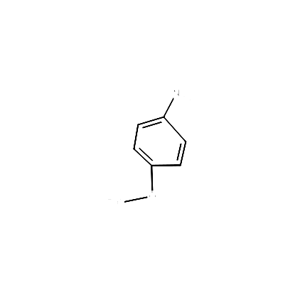 O=[N+]([O-])c1ccc(OC(F)(F)F)cc1